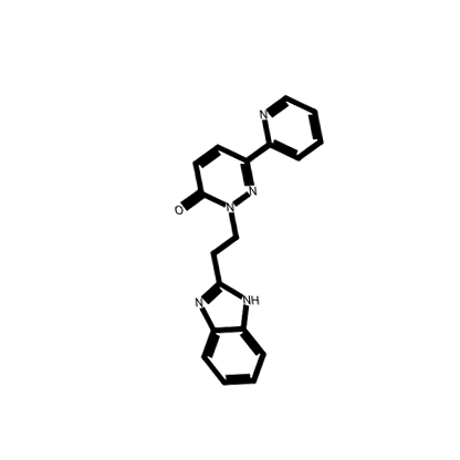 O=c1ccc(-c2ccccn2)nn1CCc1nc2ccccc2[nH]1